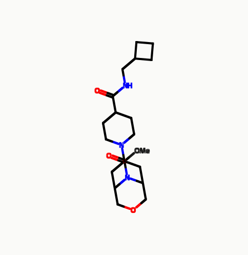 COC(=O)N1C2COCC1CC(N1CCC(C(=O)NCC3CCC3)CC1)C2